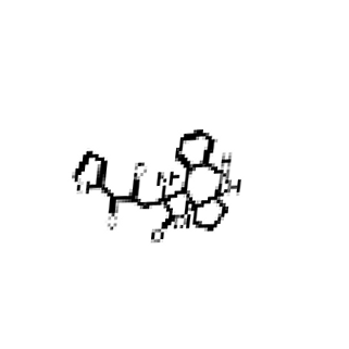 NC(CC(=O)C(=O)c1ccco1)(C(=O)O)C1c2ccccc2N[C@@H]2CCC[C@H]12